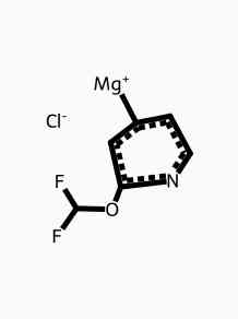 FC(F)Oc1c[c]([Mg+])ccn1.[Cl-]